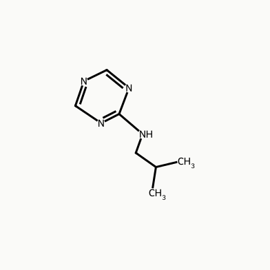 CC(C)CNc1ncncn1